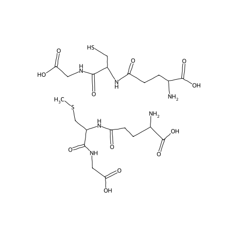 CSCC(NC(=O)CCC(N)C(=O)O)C(=O)NCC(=O)O.NC(CCC(=O)NC(CS)C(=O)NCC(=O)O)C(=O)O